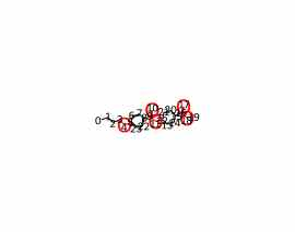 CCCCOc1ccc(C(=O)OC2CCC(C(=O)OC)CC2)cc1